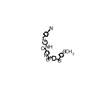 COc1ccc(C(=O)C2CCN(C(=O)c3ccc(C(=O)NC4CCN(Cc5ccc(C#N)cc5)CC4)cn3)CC2)cc1